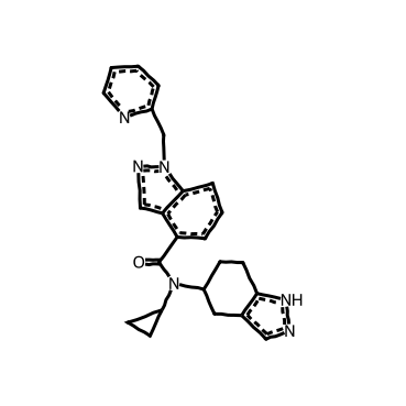 O=C(c1cccc2c1cnn2Cc1ccccn1)N(C1CC1)C1CCc2[nH]ncc2C1